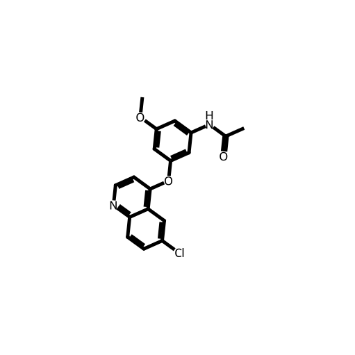 COc1cc(NC(C)=O)cc(Oc2ccnc3ccc(Cl)cc23)c1